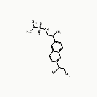 CC(C)S(=O)(=O)NC[C@@H](C)c1ccc2cc([C@H](C)CN)ccc2c1